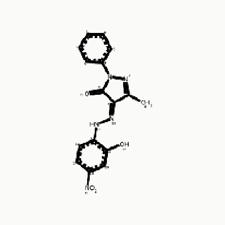 CC1=NN(c2ccccc2)C(=O)/C1=N\Nc1ccc([N+](=O)[O-])cc1O